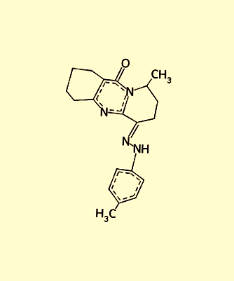 Cc1ccc(N/N=C2\CCC(C)n3c2nc2c(c3=O)CCCC2)cc1